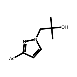 CC(=O)c1ccn(CC(C)(C)O)n1